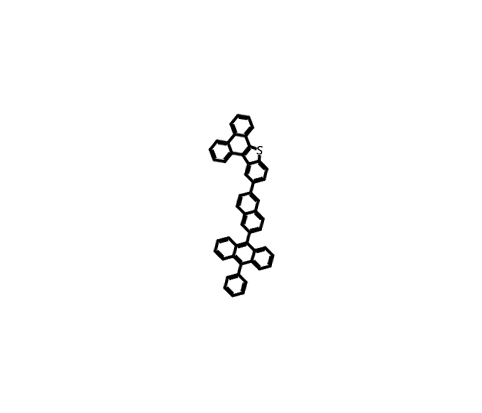 c1ccc(-c2c3ccccc3c(-c3ccc4cc(-c5ccc6sc7c8ccccc8c8ccccc8c7c6c5)ccc4c3)c3ccccc23)cc1